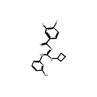 O=C(/N=C(\Nc1cccc(O)n1)NC1CCC1)c1ccc(F)c(F)c1